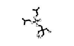 CC(C)COP(=O)(OCC(C)C)OCC(CBr)(CBr)CBr